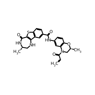 C=CC(=O)N1C[C@H](C)Oc2ccc(NC(=O)c3ccc4sc5c(c4c3)NC[C@@H](C)NC5=O)cc21